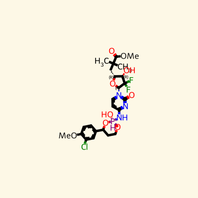 COC(=O)C(C)(C)C[C@H]1O[C@@H](n2ccc(N[PH]3(O)OCCC(c4ccc(OC)c(Cl)c4)O3)nc2=O)C(F)(F)[C@@H]1O